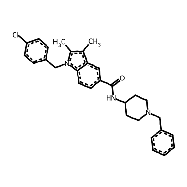 Cc1c(C)n(Cc2ccc(Cl)cc2)c2ccc(C(=O)NC3CCN(Cc4ccccc4)CC3)cc12